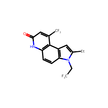 CCc1cc2c3c(C(F)(F)F)cc(=O)[nH]c3ccc2n1CC(F)(F)F